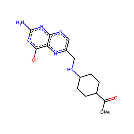 COC(=O)C1CCC(NCc2cnc3nc(N)nc(O)c3n2)CC1